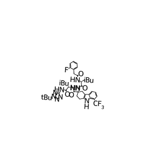 CCC(C)[C@H](NC(=O)Cc1ccccc1F)C(=O)N[C@]1(C(=O)N[C@H](C(=O)Nc2nnn(C(C)(C)C)n2)C(C)CC)CCc2[nH]c3c(C(F)(F)F)cccc3c2C1